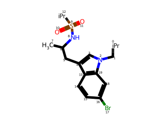 CC(C)Cn1cc(CC(C)NS(=O)(=O)C(C)C)c2ccc(Br)cc21